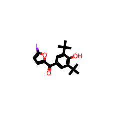 CC(C)(C)c1cc(C(=O)c2ccc(I)o2)cc(C(C)(C)C)c1O